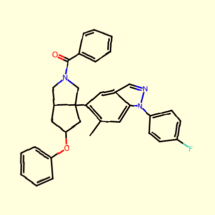 Cc1cc2c(cnn2-c2ccc(F)cc2)cc1C12CC(Oc3ccccc3)CC1CN(C(=O)c1ccccc1)C2